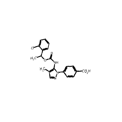 Cc1cnn(-c2ccc(C(=O)O)cc2)c1NC(=O)OC(C)c1ccccc1Cl